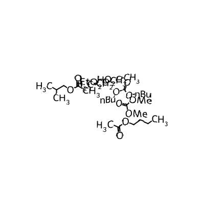 C=C.CC(=O)O.CC(=O)OCC(C)C.CCCCOC(=O)OCCCC.CCCCOC(C)=O.CCOC(C)=O.COC(=O)OC